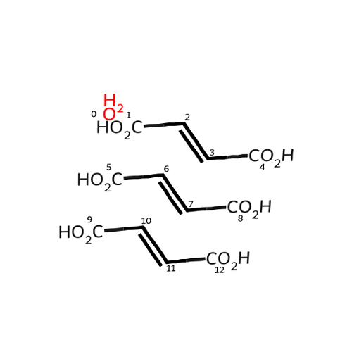 O.O=C(O)C=CC(=O)O.O=C(O)C=CC(=O)O.O=C(O)C=CC(=O)O